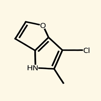 Cc1[nH]c2ccoc2c1Cl